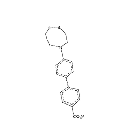 O=C(O)c1ccc(-c2ccc(N3CCSSCC3)cc2)cc1